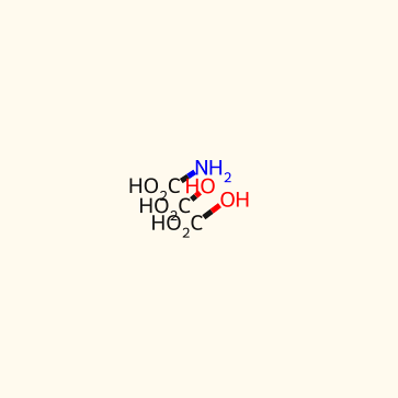 NC(=O)O.O=C(O)O.O=C(O)O